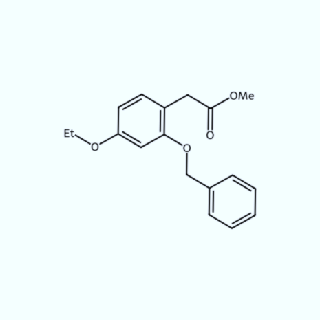 CCOc1ccc(CC(=O)OC)c(OCc2ccccc2)c1